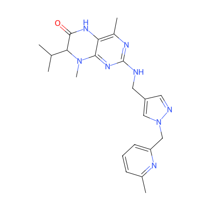 Cc1cccc(Cn2cc(CNc3nc(C)c4c(n3)N(C)C(C(C)C)C(=O)N4)cn2)n1